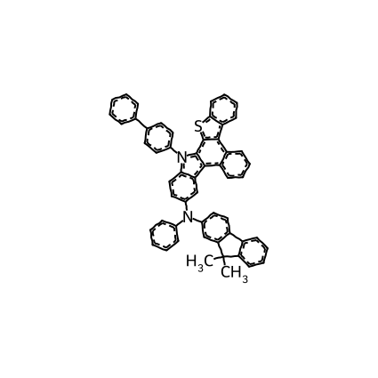 CC1(C)c2ccccc2-c2ccc(N(c3ccccc3)c3ccc4c(c3)c3c5ccccc5c5c6ccccc6sc5c3n4-c3ccc(-c4ccccc4)cc3)cc21